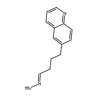 CC(C)(C)N=CCCCc1ccc2ncccc2c1